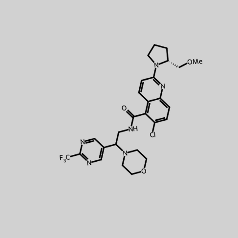 COC[C@H]1CCCN1c1ccc2c(C(=O)NCC(c3cnc(C(F)(F)F)nc3)N3CCOCC3)c(Cl)ccc2n1